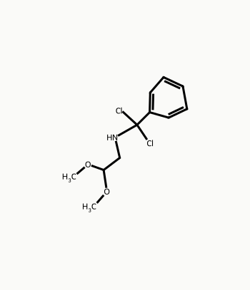 COC(CNC(Cl)(Cl)c1ccccc1)OC